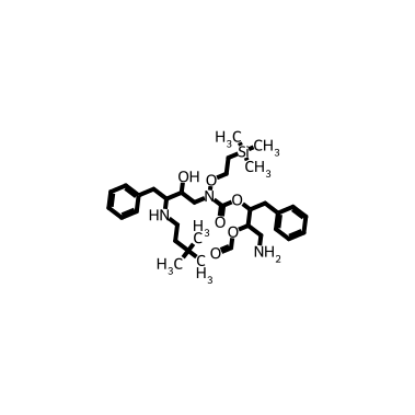 CC(C)(C)CCNC(Cc1ccccc1)C(O)CN(OCC[Si](C)(C)C)C(=O)OC(Cc1ccccc1)C(CN)OC=O